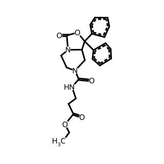 CCOC(=O)CCNC(=O)N1CCN2C(=O)OC(c3ccccc3)(c3ccccc3)C2C1